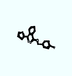 O=C(OCc1ccc(F)cc1)c1ccccc1C(=O)c1cccs1